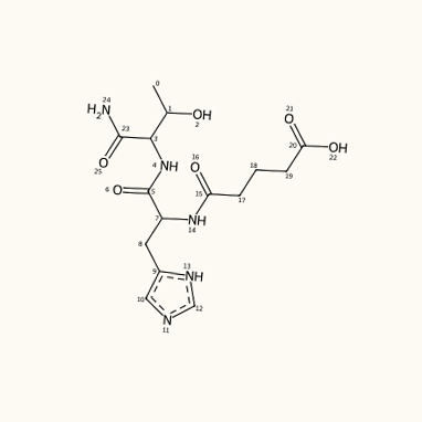 CC(O)C(NC(=O)C(Cc1cnc[nH]1)NC(=O)CCCC(=O)O)C(N)=O